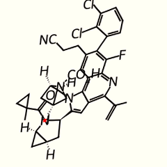 C=C(C)c1nc2c(F)c(-c3cccc(Cl)c3Cl)c(CCC#N)cc2c2c1cc([C@H]1C[C@H]3C[C@H]3N1C(=O)C1(C)CC1)n2[C@H]1[C@@H]2C[C@H]1N(C(=O)O)C2